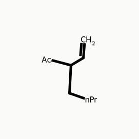 C=CC(CCCC)C(C)=O